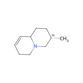 C[C@H]1CCC2C=CCCN2C1